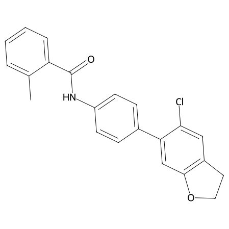 Cc1ccccc1C(=O)Nc1ccc(-c2cc3c(cc2Cl)CCO3)cc1